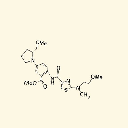 COCCN(C)c1nc(C(=O)Nc2ccc(N3CCC[C@@H]3COC)cc2C(=O)OC)cs1